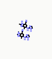 Cc1c(NC2=NCCN2)cc(C#N)c2c1ncn2C.Cc1nc2c(C)c(NC3=NCCN3)cc(C#N)c2[nH]1